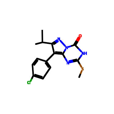 CSc1nc2c(-c3ccc(Cl)cc3)c(C(C)C)nn2c(=O)[nH]1